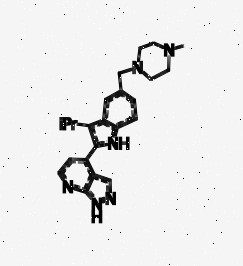 CC(C)c1c(-c2ccnc3[nH]ncc23)[nH]c2ccc(CN3CCN(C)CC3)cc12